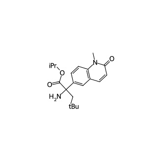 CC(C)OC(=O)C(N)(CC(C)(C)C)c1ccc2c(ccc(=O)n2C)c1